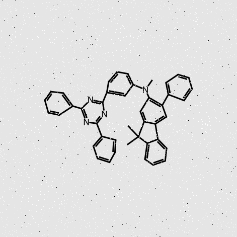 CN(c1cccc(-c2nc(-c3ccccc3)nc(-c3ccccc3)n2)c1)c1cc2c(cc1-c1ccccc1)-c1ccccc1C2(C)C